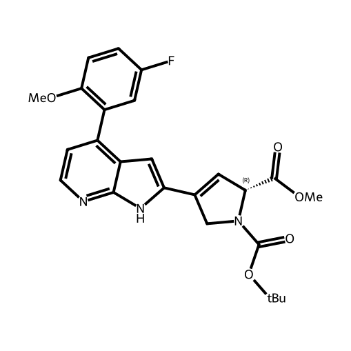 COC(=O)[C@H]1C=C(c2cc3c(-c4cc(F)ccc4OC)ccnc3[nH]2)CN1C(=O)OC(C)(C)C